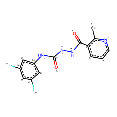 CC(=O)c1ncccc1C(=O)NNC(=O)Nc1cc(F)cc(F)c1